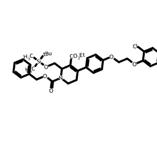 CCOC(=O)C1=C(c2ccc(OCCOc3ccccc3Cl)cc2)CCN(C(=O)OCc2ccccc2)C1CO[Si](C)(C)C(C)(C)C